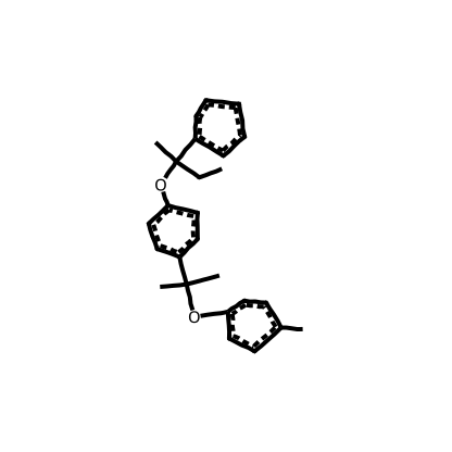 CCC(C)(Oc1ccc(C(C)(C)Oc2ccc(C)cc2)cc1)c1ccccc1